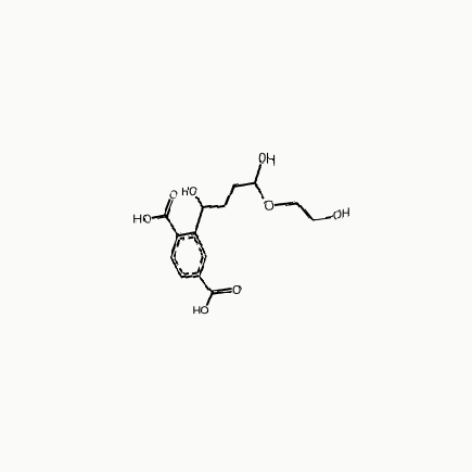 O=C(O)c1ccc(C(=O)O)c(C(O)CCC(O)OCCO)c1